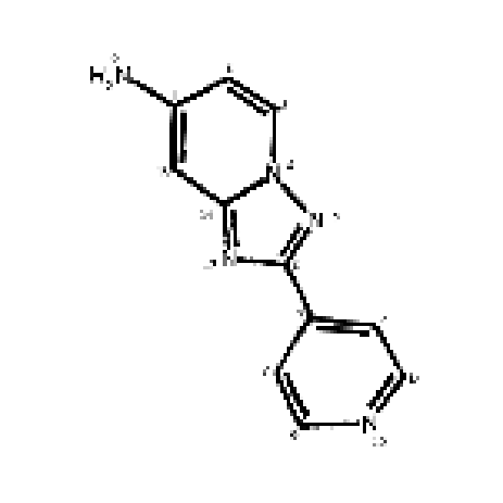 Nc1ccn2nc(-c3ccncc3)nc2c1